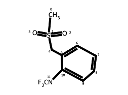 CS(=O)(=O)Cc1ccccc1NC(F)(F)F